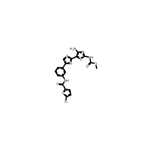 COC(=O)Nc1nc(N)c(-c2nc(-c3cccc(NC(=O)c4ccc(Cl)s4)c3)cs2)s1